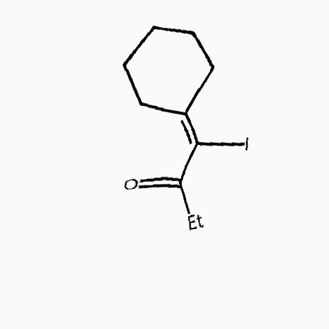 CCC(=O)C(I)=C1CCCCC1